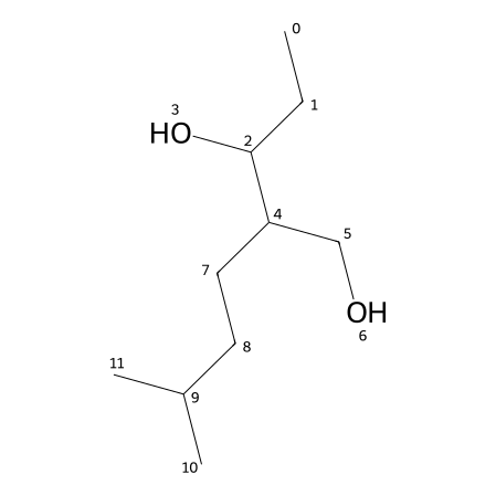 CCC(O)C(CO)CCC(C)C